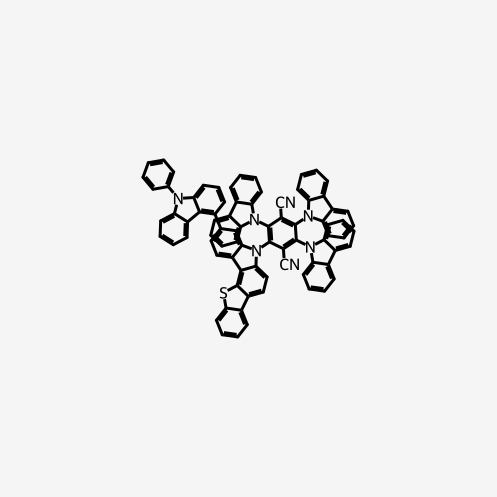 N#Cc1c(-n2c3ccccc3c3ccccc32)c(-n2c3ccccc3c3ccccc32)c(C#N)c(-n2c3cc(-c4cccc5c4c4ccccc4n5-c4ccccc4)ccc3c3c4sc5ccccc5c4ccc32)c1-n1c2ccccc2c2ccccc21